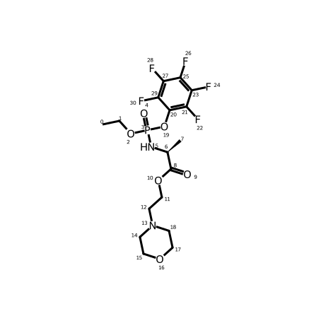 CCOP(=O)(N[C@@H](C)C(=O)OCCN1CCOCC1)Oc1c(F)c(F)c(F)c(F)c1F